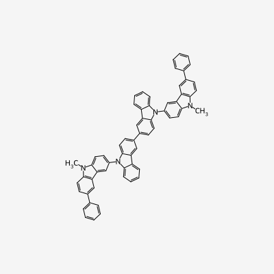 Cn1c2ccc(-c3ccccc3)cc2c2cc(-n3c4ccccc4c4cc(-c5ccc6c(c5)c5ccccc5n6-c5ccc6c(c5)c5cc(-c7ccccc7)ccc5n6C)ccc43)ccc21